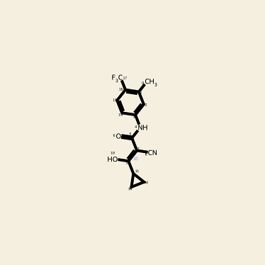 Cc1cc(NC(=O)/C(C#N)=C(\O)C2CC2)ccc1C(F)(F)F